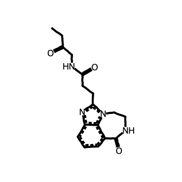 CCC(=O)CNC(=O)CCc1nc2cccc3c2n1CCNC3=O